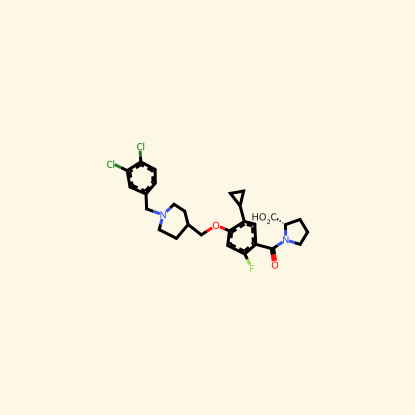 O=C(O)[C@@H]1CCCN1C(=O)c1cc(C2CC2)c(OCC2CCN(Cc3ccc(Cl)c(Cl)c3)CC2)cc1F